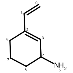 C=CC1=CC(N)CCC1